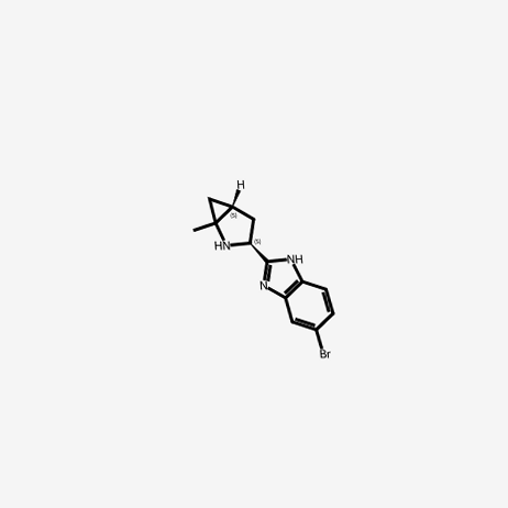 CC12C[C@@H]1C[C@@H](c1nc3cc(Br)ccc3[nH]1)N2